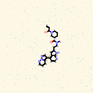 C=CC(=O)N1CCC[C@H](C(=O)N(C)CCc2cc3c(-c4cnn5ncccc45)ccnc3[nH]2)C1